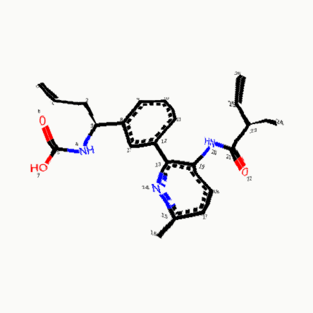 C=CC[C@H](NC(=O)O)c1cccc(-c2nc(C)ccc2NC(=O)[C@H](C)C=C)c1